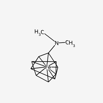 CN(C)[C]12[CH]3[CH]4[CH]5[CH]1[Fe]45321678[CH]2[CH]1[CH]6[CH]7[CH]28